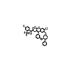 O=C(Cc1c(-c2cccc(Br)c2)c2cc(CN3CCN(c4ccccc4)CC3)c(Cl)cc2oc1=O)Nc1ccc(F)cc1C(F)(F)F